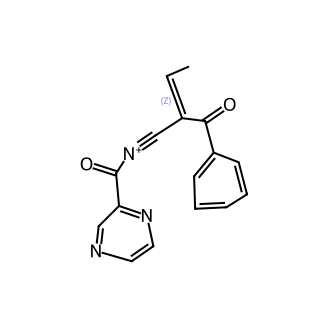 C/C=C(/C#[N+]C(=O)c1cnccn1)C(=O)c1ccccc1